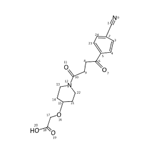 N#Cc1ccc(C(=O)CCC(=O)N2CCC(OCC(=O)O)CC2)cc1